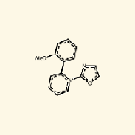 COc1ccccc1-c1cccc[n+]1-c1ncco1